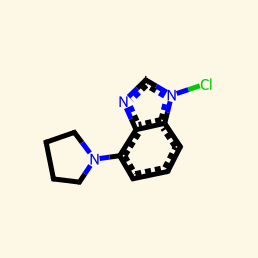 Cln1[c]nc2c(N3CCCC3)cccc21